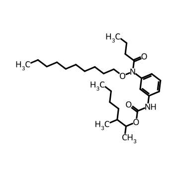 CCCCCCCCCCON(C(=O)CCC)c1cccc(NC(=O)OC(C)C(C)CCCC)c1